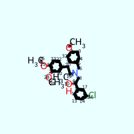 COc1ccc(CN(C[C@H](O)c2cccc(Cl)c2)C(C)Cc2ccc(OC)c(OC)c2)cc1